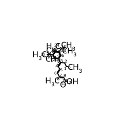 CCC/C(=C\C=C\C(C)=CC(=O)O)c1cc(C(C)(C)C)cc(C(C)(C)C)c1